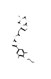 Cn1c(=O)nc2scc(CC(=O)Nc3nc(-c4cc(Cl)c(OCCC(F)(F)F)c(Cl)c4)cs3)n2c1=O